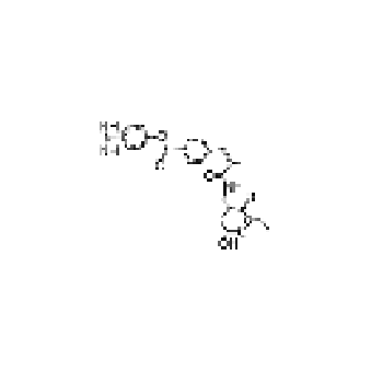 CCOC(=O)C(CNC(=O)C(C)=Cc1ccc(C(=O)Oc2ccc(C(=N)N)cc2)cc1)CC(=O)O